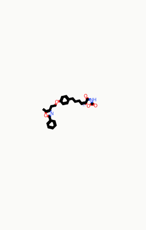 Cc1oc(-c2ccccc2)nc1CCOc1ccc(CCC/C=C2/OC(=O)NC2=O)cc1